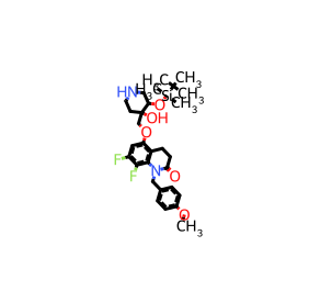 COc1ccc(CN2C(=O)CCc3c(OCC4(O)CCNCC4O[Si](C)(C)C(C)(C)C)cc(F)c(F)c32)cc1